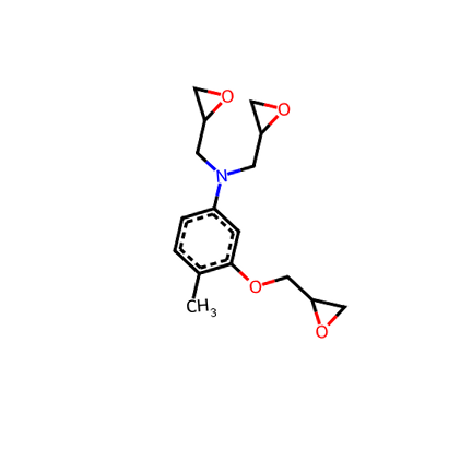 Cc1ccc(N(CC2CO2)CC2CO2)cc1OCC1CO1